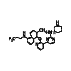 Cc1ccc2c(NCCC(F)(F)F)cccc2c1Oc1ncccc1-c1ccnc(N[C@H]2CCCNC2)n1